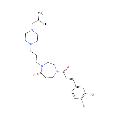 CC(C)CN1CCN(CCCN2CCN(C(=O)C=Cc3ccc(Cl)c(Cl)c3)CCC2=O)CC1